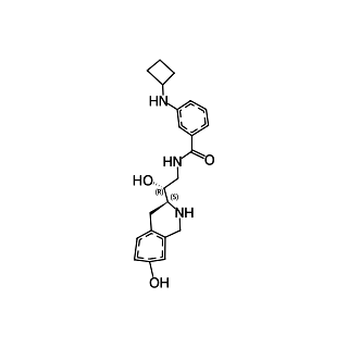 O=C(NC[C@@H](O)[C@@H]1Cc2ccc(O)cc2CN1)c1cccc(NC2CCC2)c1